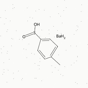 Cc1ccc(S(=O)O)cc1.[BaH2]